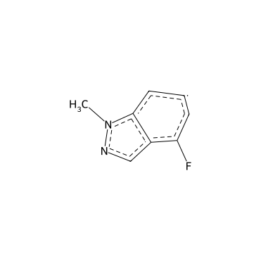 Cn1ncc2c(F)c[c]cc21